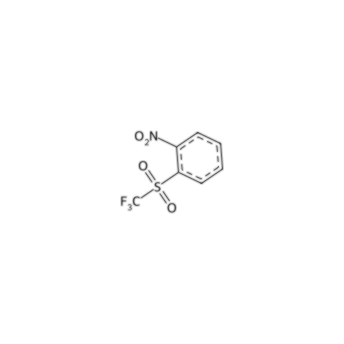 O=[N+]([O-])c1ccccc1S(=O)(=O)C(F)(F)F